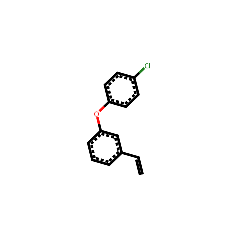 C=Cc1cccc(Oc2ccc(Cl)cc2)c1